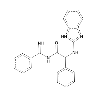 N=C(NC(=O)C(Nc1nc2ccccc2[nH]1)c1ccccc1)c1ccccc1